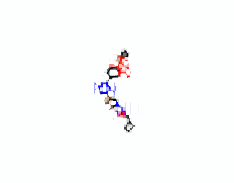 COc1cc(-c2cncc(-c3cc(NC(=O)CC4CCC4)cs3)n2)ccc1S(=O)(=O)C1CCC1